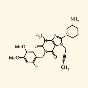 CC#CCn1c(N2CCC[C@@H](N)C2)nc2c1c(=O)n(Cc1cc(OC)c(OC)cc1F)c(=O)n2C